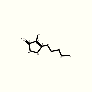 CCCCCC1=C(C)C(=O)CC1